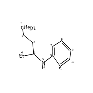 CCCCCCCCCC(CC)Nc1ccccc1